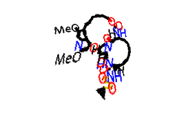 COc1cc2c3cc(c(OC)cc3n1)/C=C/CCCCOC(=O)N[C@H]1CCCCC/C=C\[C@@H]3C[C@@]3(C(=O)NS(=O)(=O)C3CC3)NC(=O)[C@@H]3C[C@H](CN3C1=O)O2